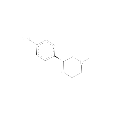 CCN1CCO[C@@H](c2ccc([N+](=O)[O-])cc2)C1